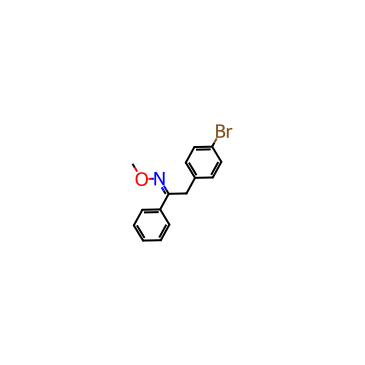 CON=C(Cc1ccc(Br)cc1)c1ccccc1